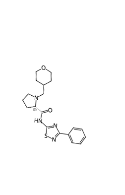 O=C(Nc1nc(-c2ccccc2)ns1)[C@@H]1CCCN1CC1CCOCC1